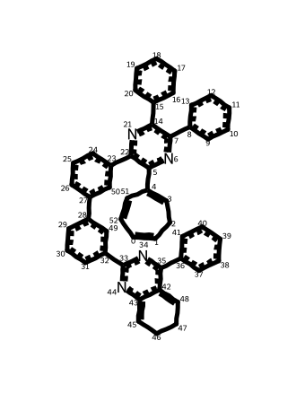 C1=CCC=C(c2nc(-c3ccccc3)c(-c3ccccc3)nc2-c2cccc(-c3cccc(-c4nc(-c5ccccc5)c5c(n4)=CCCC=5)c3)c2)C=C1